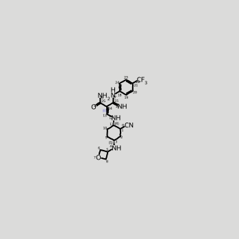 N#CC1C[C@@H](NC2COC2)CC[C@H]1N/C=C(\C(=N)Nc1ccc(C(F)(F)F)cc1)C(N)=O